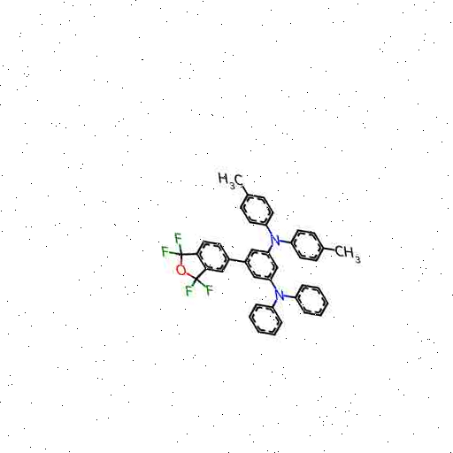 Cc1ccc(N(c2ccc(C)cc2)c2cc(-c3ccc4c(c3)C(F)(F)OC4(F)F)cc(N(c3ccccc3)c3ccccc3)c2)cc1